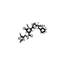 Cc1nc(CN(C)C(=O)c2cc(-c3nnc([C@@](C)(N)Cc4ccccc4)o3)n(C)c(=O)c2)c(C)o1